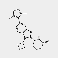 Cc1noc(C)c1-c1ccc2c(c1)nc([C@@H]1CCCC(=O)N1)n2C1CCC1